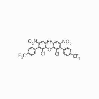 O=[N+]([O-])c1cc(F)c(Oc2c(F)cc([N+](=O)[O-])c(-c3ccc(C(F)(F)F)cc3)c2Cl)c(Cl)c1-c1ccc(C(F)(F)F)cc1